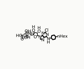 CCCCCCc1ccc(Nc2nc(Cl)nc3c2ncn3C2OC(CNP(=O)(O)CP(=O)(O)O)C(O)C2O)cc1